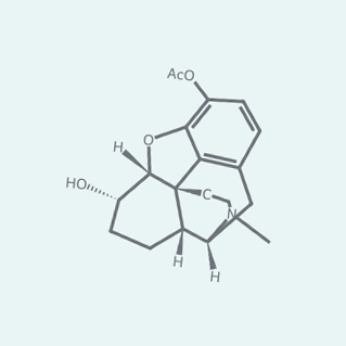 CC(=O)Oc1ccc2c3c1O[C@H]1[C@@H](O)CC[C@H]4[C@@H](C2)N(C)CC[C@@]341